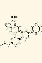 CCCN1CCN(c2ccc(N3CCCCC3)cc2C2CCC(CC)(CC)CC2)CC1.Cl